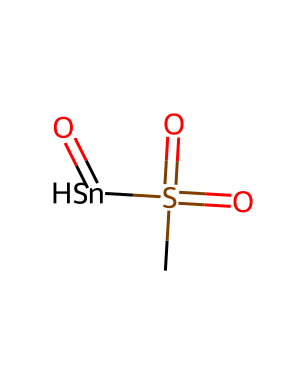 C[S](=O)(=O)[SnH]=[O]